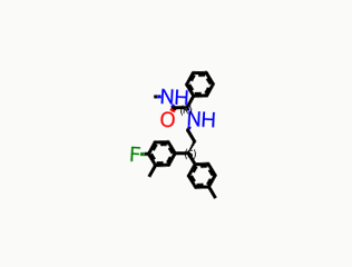 CNC(=O)[C@H](NCC[C@@H](c1ccc(C)cc1)c1ccc(F)c(C)c1)c1ccccc1